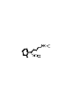 Cc1ccccc1C(CCCCN=C=O)N=C=O